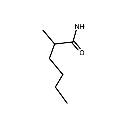 CCCCC(C)C([NH])=O